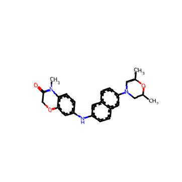 CC1CN(c2ccc3cc(Nc4ccc5c(c4)OCC(=O)N5C)ccc3c2)CC(C)O1